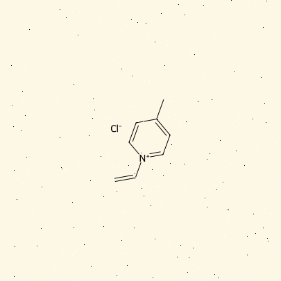 C=C[n+]1ccc(C)cc1.[Cl-]